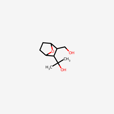 CC(C)(O)C1C2CCC(O2)C1CO